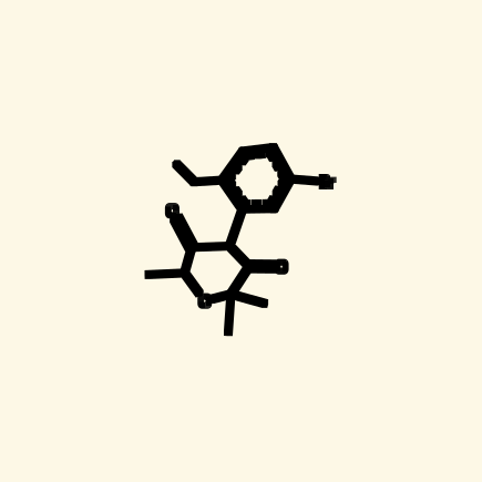 CCc1ccc(Br)cc1C1C(=O)C(C)OC(C)(C)C1=O